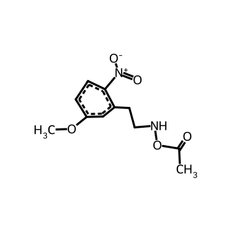 COc1ccc([N+](=O)[O-])c(CCNOC(C)=O)c1